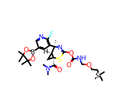 CN(C)C(=O)[C@]12C[C@H]1[C@@](C)(c1cc(B3OC(C)(C)C(C)(C)O3)cnc1F)N=C(OC(=O)NCOCC[Si](C)(C)C)S2